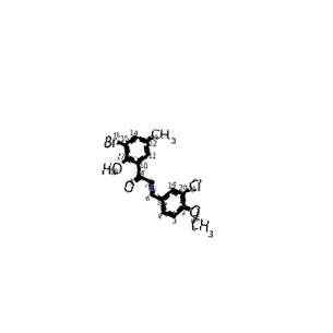 COc1ccc(/C=C/C(=O)c2cc(C)cc(Br)c2O)cc1Cl